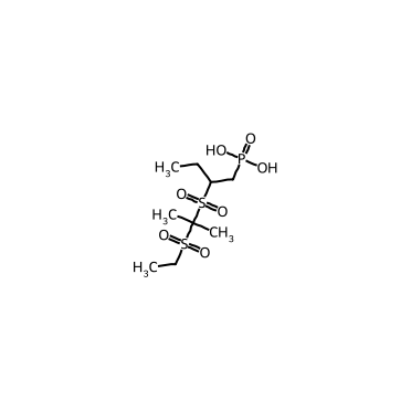 CCC(CP(=O)(O)O)S(=O)(=O)C(C)(C)S(=O)(=O)CC